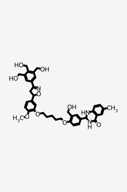 COc1ccc(C2CC(c3cc(CO)c(CO)c(CO)c3)=NO2)cc1OCCCCCOc1ccc(C2NC(=O)c3cc(C)ccc3N2)cc1CO